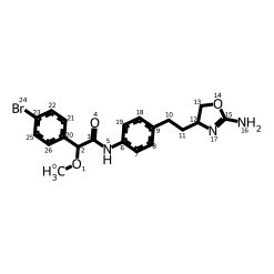 COC(C(=O)Nc1ccc(CCC2COC(N)=N2)cc1)c1ccc(Br)cc1